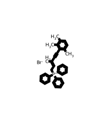 CC(C#Cc1c(C)ccc(C)c1C)=CC[P+](c1ccccc1)(c1ccccc1)c1ccccc1.[Br-]